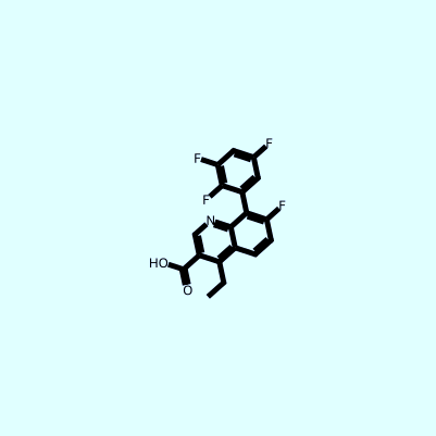 CCc1c(C(=O)O)cnc2c(-c3cc(F)cc(F)c3F)c(F)ccc12